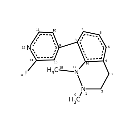 CN1CCc2cccc(-c3ccnc(F)c3)c2N1C